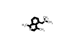 Cc1ncc(C)c2c(CN(C)C)cccc12